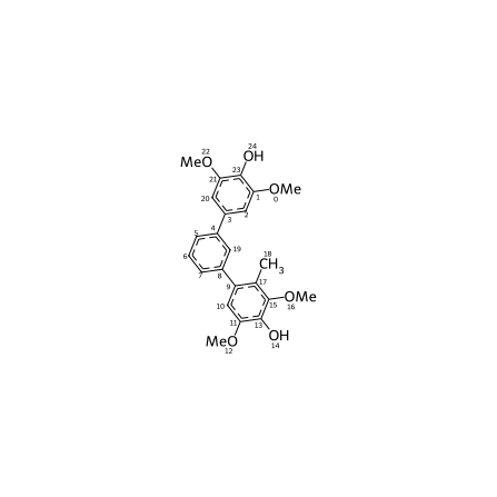 COc1cc(-c2cccc(-c3cc(OC)c(O)c(OC)c3C)c2)cc(OC)c1O